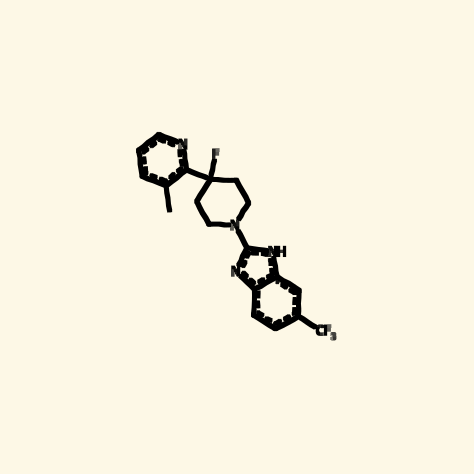 Cc1cccnc1C1(F)CCN(c2nc3ccc(C(F)(F)F)cc3[nH]2)CC1